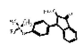 CC(C)(C)[Si](C)(C)Oc1ccc(C2c3ccccc3C(=O)C2C(=O)O)cc1